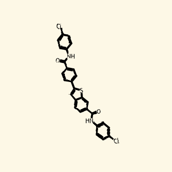 O=C(Nc1ccc(Cl)cc1)c1ccc(-c2[c]c3ccc(C(=O)Nc4ccc(Cl)cc4)cc3s2)cc1